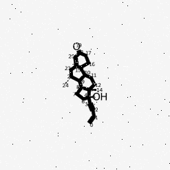 C=CC#C[C@]1(O)CCC2C3C(CC[C@@]21C)C1CCC(=O)C=C1C[C@H]3C